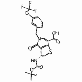 CC(C)(C)OC(=O)N[C@H]1CSc2c(C(=O)O)cn(Cc3cccc(OC(F)(F)F)c3)c(=O)c21